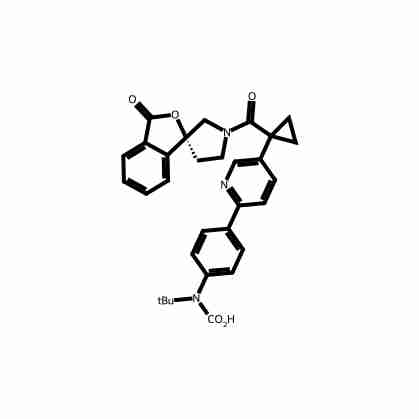 CC(C)(C)N(C(=O)O)c1ccc(-c2ccc(C3(C(=O)N4CC[C@@]5(C4)OC(=O)c4ccccc45)CC3)cn2)cc1